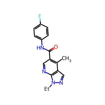 CCn1ncc2c(C)c(C(=O)Nc3ccc(F)cc3)cnc21